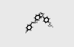 COc1ccc(-n2nnc3ccc(NCc4ccc(F)cc4)nc32)cc1